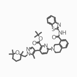 Cc1c(-c2ccc(N3CCc4cccc(C(=O)Nc5nc6ccccc6s5)c4C3)nc2C(=O)OC(C)(C)C)cnn1CC1(C)CCCC(C)(C)O1